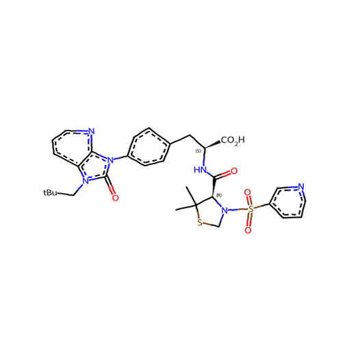 CC(C)(C)Cn1c(=O)n(-c2ccc(C[C@H](NC(=O)[C@H]3N(S(=O)(=O)c4cccnc4)CSC3(C)C)C(=O)O)cc2)c2ncccc21